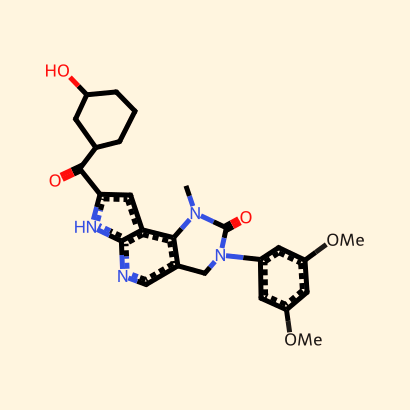 COc1cc(OC)cc(N2Cc3cnc4[nH]c(C(=O)C5CCCC(O)C5)cc4c3N(C)C2=O)c1